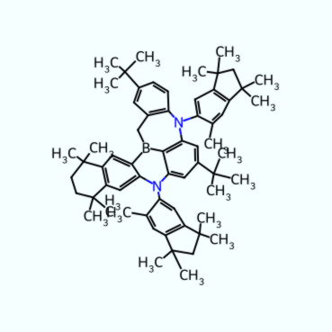 Cc1cc2c(cc1N1c3ccc(C(C)(C)C)cc3CB3c4cc5c(cc4N(c4cc6c(cc4C)C(C)(C)CC6(C)C)c4cc(C(C)(C)C)cc1c43)C(C)(C)CCC5(C)C)C(C)(C)CC2(C)C